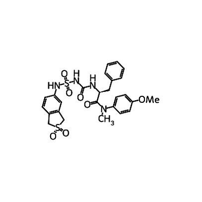 COc1ccc(N(C)C(=O)[C@H](Cc2ccccc2)NC(=O)NS(=O)(=O)Nc2ccc3c(c2)CS(=O)(=O)C3)cc1